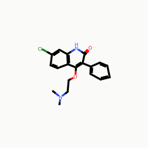 CN(C)CCOc1c(-c2ccccc2)c(=O)[nH]c2cc(Cl)ccc12